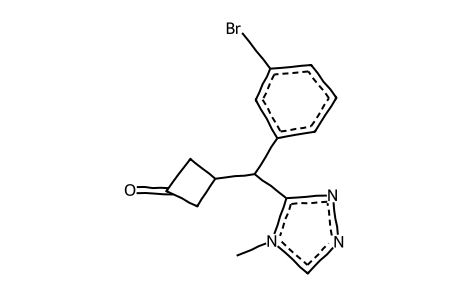 Cn1cnnc1C(c1cccc(Br)c1)C1CC(=O)C1